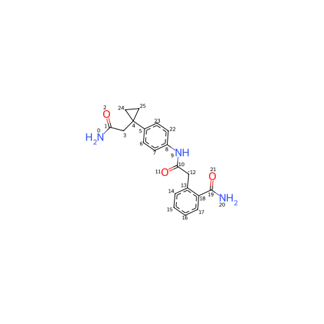 NC(=O)CC1(c2ccc(NC(=O)[CH]c3ccccc3C(N)=O)cc2)CC1